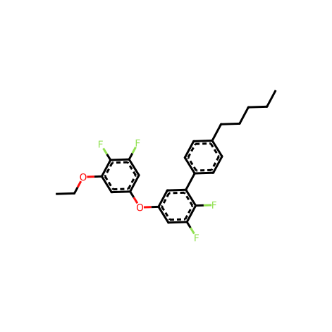 CCCCCc1ccc(-c2cc(Oc3cc(F)c(F)c(OCC)c3)cc(F)c2F)cc1